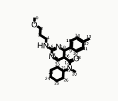 COCCCNC1=NC(c2ccc(C)cc2)C(C(=O)N(C)C2CCCCC2)C=N1